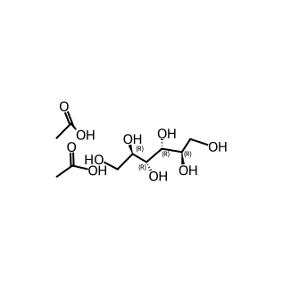 CC(=O)O.CC(=O)O.OC[C@@H](O)[C@@H](O)[C@H](O)[C@H](O)CO